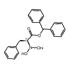 O=C(OC(c1ccccc1)c1ccccc1)[C@H](Cc1ccccc1)N(O)O